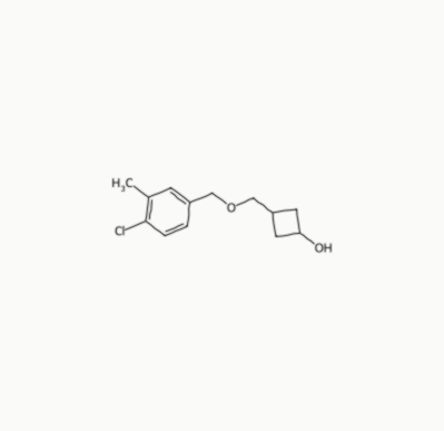 Cc1cc(COCC2CC(O)C2)ccc1Cl